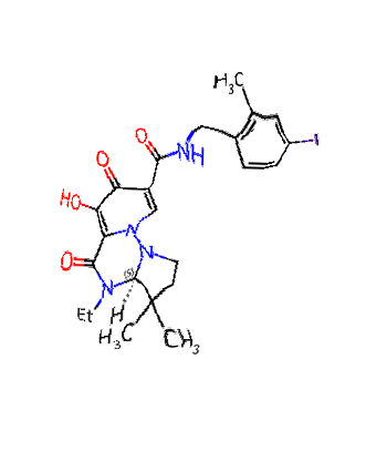 CCN1C(=O)c2c(O)c(=O)c(C(=O)NCc3ccc(I)cc3C)cn2N2CCC(C)(C)[C@@H]12